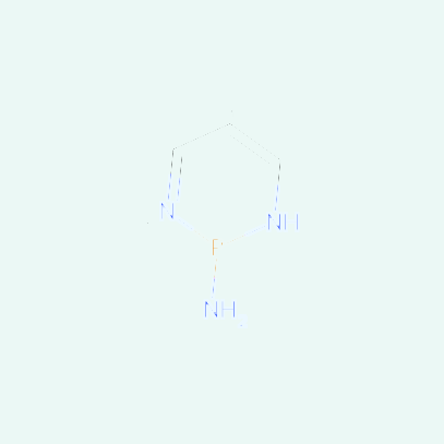 NP1N=CC=CN1